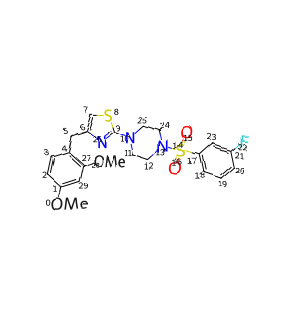 COc1ccc(Cc2csc(N3CCN(S(=O)(=O)c4cccc(F)c4)CC3)n2)c(OC)c1